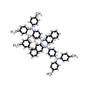 Cc1ccc(N(c2ccc(C)cc2)c2ccc(N3c4cc5ccccc5cc4N4c5ccc(N(c6ccc(C)cc6)c6ccc(C)cc6)cc5B(c5c(C)cc(C)cc5C)c5c4c3cc3ccccc53)cc2)cc1